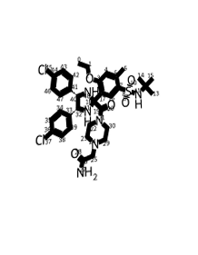 CCOc1cc(C)c(S(=O)(=O)NC(C)(C)C)cc1C1(C(=O)N2CCN(CC(N)=O)CC2)N[C@H](c2ccc(Cl)cc2)[C@H](c2ccc(Cl)cc2)N1